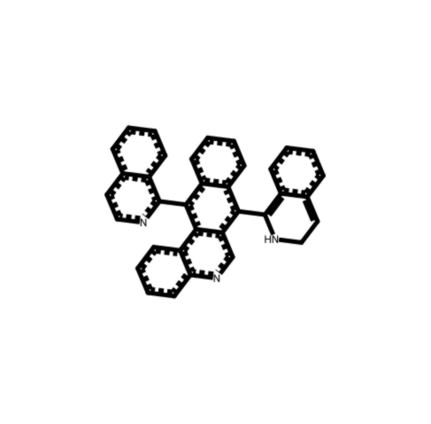 C1=c2ccccc2=C(c2c3ccccc3c(-c3nccc4ccccc34)c3c2cnc2ccccc23)NC1